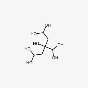 OC(O)CC(O)(CC(O)O)C(O)O